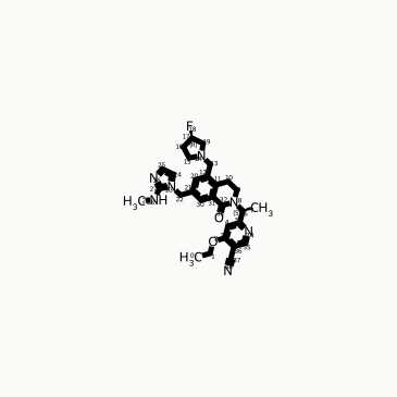 CCOc1cc([C@H](C)N2CCc3c(CN4CC[C@@H](F)C4)cc(Cn4ccnc4NC)cc3C2=O)ncc1C#N